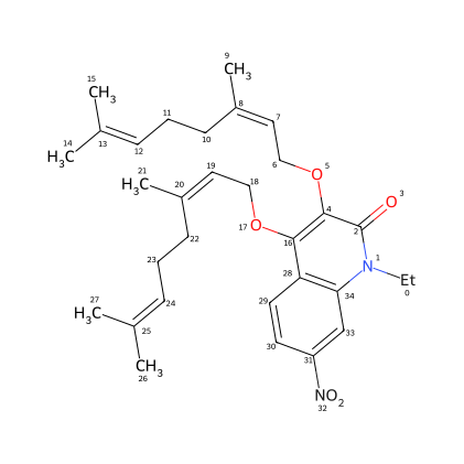 CCn1c(=O)c(OCC=C(C)CCC=C(C)C)c(OCC=C(C)CCC=C(C)C)c2ccc([N+](=O)[O-])cc21